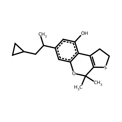 CC(CC1CC1)c1cc(O)c2c(c1)OC(C)(C)C1=C2CCS1